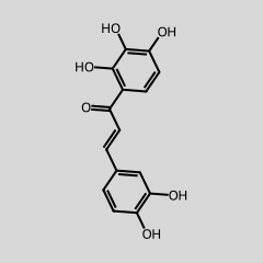 O=C(C=Cc1ccc(O)c(O)c1)c1ccc(O)c(O)c1O